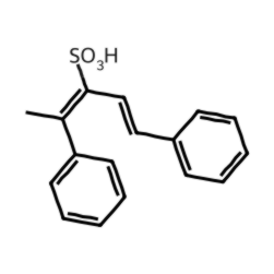 CC(=C(C=Cc1ccccc1)S(=O)(=O)O)c1ccccc1